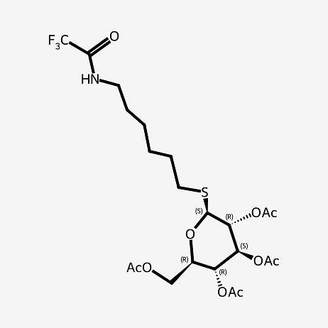 CC(=O)OC[C@H]1O[C@@H](SCCCCCCNC(=O)C(F)(F)F)[C@H](OC(C)=O)[C@@H](OC(C)=O)[C@@H]1OC(C)=O